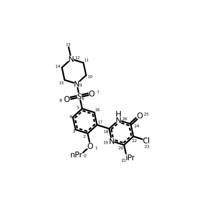 CCCOc1ccc(S(=O)(=O)N2CCN(C)CC2)cc1-c1nc(C(C)C)c(Cl)c(=O)[nH]1